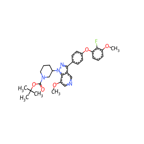 COc1cccc(Oc2ccc(-c3nn(C4CCCN(C(=O)OC(C)(C)C)C4)c4c(OC)cncc34)cc2)c1F